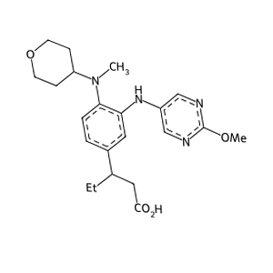 CCC(CC(=O)O)c1ccc(N(C)C2CCOCC2)c(Nc2cnc(OC)nc2)c1